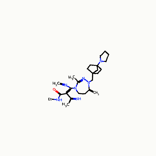 C=N/C(=C(/C(C)=N)C(=O)NCC)N1CCC(=C)N(CC23CCC(N4CCCC4)(CC2)C3)N=C1C